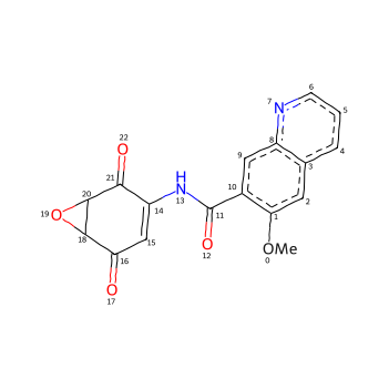 COc1cc2cccnc2cc1C(=O)NC1=CC(=O)C2OC2C1=O